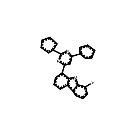 Brc1cccc2c1oc1c(-c3cc(-c4ccccc4)nc(-c4ccccc4)n3)cccc12